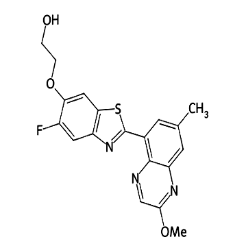 COc1cnc2c(-c3nc4cc(F)c(OCCO)cc4s3)cc(C)cc2n1